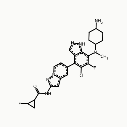 CN(c1c(F)c(Cl)c(-c2ccn3nc(NC(=O)C4CC4F)cc3c2)c2cn[nH]c12)C1CCC(N)CC1